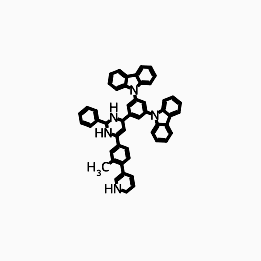 Cc1cc(C2=CC(c3cc(-n4c5ccccc5c5ccccc54)cc(-n4c5ccccc5c5ccccc54)c3)NC(c3ccccc3)N2)ccc1C1=CNCC=C1